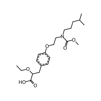 CCOC(Cc1ccc(OCCN(CCCC(C)C)C(=O)OC)cc1)C(=O)O